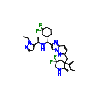 C=C(NC(c1cn2nc(CC3(C(=C)CC)CC(F)(F)CNC3=C)ccc2n1)C1CCCC(F)(F)C1)c1ccnn1CC